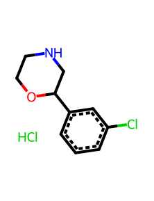 Cl.Clc1cccc(C2CNCCO2)c1